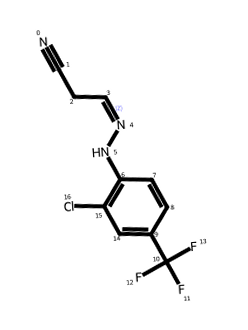 N#CC/C=N\Nc1ccc(C(F)(F)F)cc1Cl